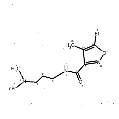 CCCN(C)CCCNC(=O)c1noc(CC)c1C